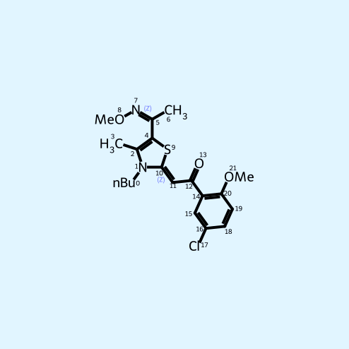 CCCCN1C(C)=C(/C(C)=N\OC)S/C1=C\C(=O)c1cc(Cl)ccc1OC